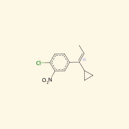 C/C=C(\c1ccc(Cl)c([N+](=O)[O-])c1)C1CC1